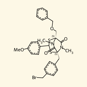 COc1ccc(C2S[C@@]3(COCc4ccccc4)C(=O)N(C)[C@@](Cc4ccc(CBr)cc4)(S2)C(=O)N3C)cc1